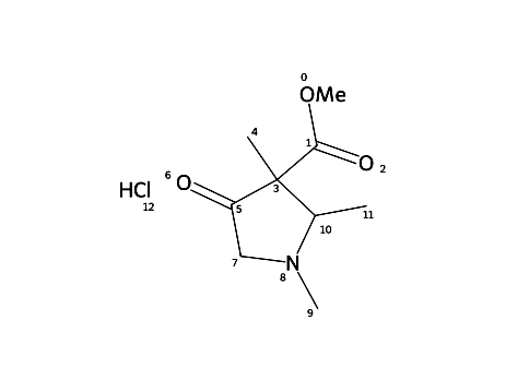 COC(=O)C1(C)C(=O)CN(C)C1C.Cl